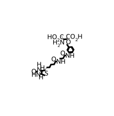 N[C@H](C(=O)O)[C@H](OCc1cccc(NC(=O)CCNC(=O)CCCC[C@@H]2SC[C@@H]3NC(=O)N[C@@H]32)c1)C(=O)O